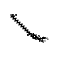 C=CCCC(NC(=O)C1CCC(CNC(=O)CCCCCCCCCCCCCCCCCCC(=O)O)CC1)C(=O)O